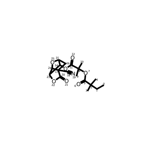 CCC(C)(C)C(=O)OC(C)(C)C(=O)OC1C2CC3(C#N)C(=O)OC1C3O2